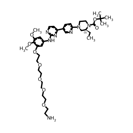 CC[C@H]1CN(c2ccc(-c3ccnc(Nc4cc(OC)c(OC)c(OCCOCCOCCOCCOCCN)c4)n3)cn2)CCN1C(=O)OC(C)(C)C